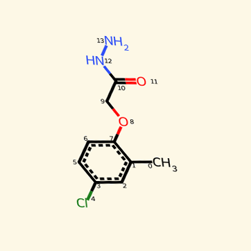 Cc1cc(Cl)ccc1OCC(=O)NN